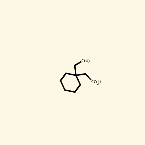 O=CCC1(CC(=O)O)CCCCC1